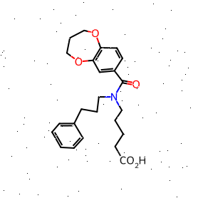 O=C(O)CCCCN(CCCc1ccccc1)C(=O)c1ccc2c(c1)OCCCO2